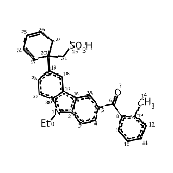 CCn1c2ccc(C(=O)c3ccccc3C)cc2c2cc(C3(CS(=O)(=O)O)C=CC=CC3)ccc21